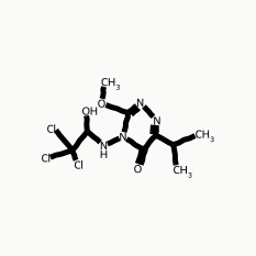 COc1nnc(C(C)C)c(=O)n1NC(O)C(Cl)(Cl)Cl